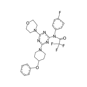 O=C(N(c1ccc(F)cc1)c1nc(N2CCOCC2)nc(N2CCC(Oc3ccccc3)CC2)n1)C(F)(F)F